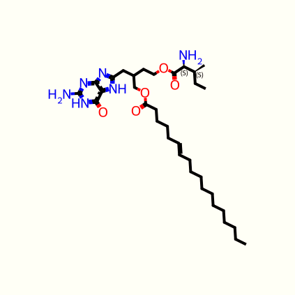 CCCCCCCCCCCC=CCCCCC(=O)OCC(CCOC(=O)[C@@H](N)[C@@H](C)CC)Cc1nc2nc(N)[nH]c(=O)c2[nH]1